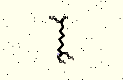 C/N=C(/CCCCCCC(=N)OC)OC